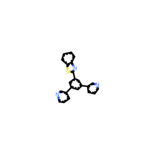 c1cncc(-c2cc(-c3cccnc3)cc(-c3nc4ccccc4s3)c2)c1